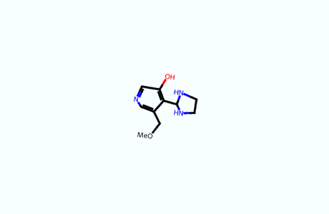 COCc1cncc(O)c1C1NCCN1